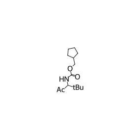 CC(=O)C(NC(=O)OCC1CCCC1)C(C)(C)C